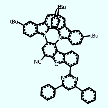 CC(C)(C)c1ccc2c(c1)c1cc(C(C)(C)C)ccc1n2-c1cc(C#N)c2oc3c(-c4nc(-c5ccccc5)cc(-c5ccccc5)n4)cccc3c2c1-n1c2ccc(C(C)(C)C)cc2c2cc(C(C)(C)C)ccc21